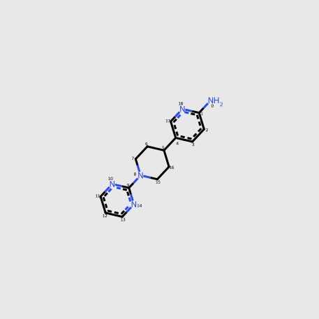 Nc1ccc(C2CCN(c3ncccn3)CC2)cn1